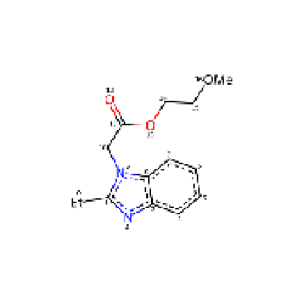 CCc1nc2ccccc2n1CC(=O)OCCOC